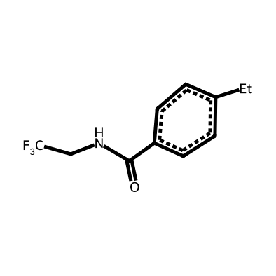 CCc1ccc(C(=O)NCC(F)(F)F)cc1